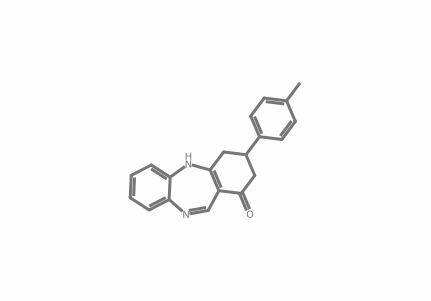 Cc1ccc(C2CC(=O)C3=C(C2)Nc2ccccc2N=C3)cc1